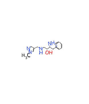 Cn1cc(CNC[C@@H](O)[C@@H](N)Cc2ccccc2)cn1